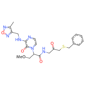 COCC(C(=O)NCC(=O)CSCc1ccccc1)n1ccnc(NCc2nonc2C)c1=O